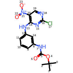 CC(C)(C)OC(=O)Nc1cccc(Nc2nc(Cl)ncc2[N+](=O)[O-])c1